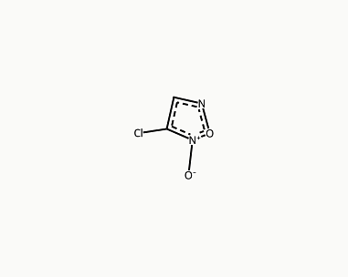 [O-][n+]1oncc1Cl